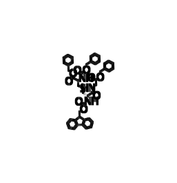 O=C(CNC(=O)[C@@H](CSC[C@H](NC(=O)OCc1ccccc1)C(=O)OCc1ccccc1)NC(=O)OCC1c2ccccc2-c2ccccc21)OCc1ccccc1